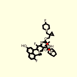 C#Cc1c(F)ccc2cc(O)cc(-c3ncc4c(N5CC6CCC(C5)N6C(=O)NC(C)(C)C)nc(OCC5(CN6CCC(F)CC6)CC5)nc4c3F)c12